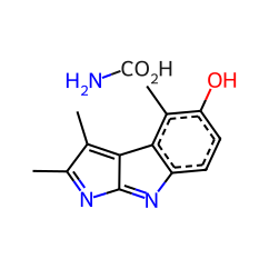 CC1=NC2=Nc3ccc(O)c(C)c3C2=C1C.NC(=O)O